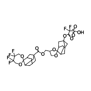 O=C(OCC1COC2(O1)C1CC3CC2CC(OC(=O)C(F)(F)S(=O)(=O)O)(C3)C1)C12CC3CC(C1)C1(OCC(F)(F)C(F)(F)CO1)C(C3)C2